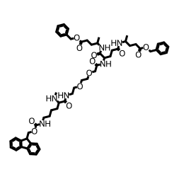 CNC(CCCCNC(=O)OCC1c2ccccc2-c2ccccc21)C(=O)NCCOCCOCC(=O)NC(CCC(=O)NC(C)CCC(=O)OCc1ccccc1)C(=O)NC(C)CCC(=O)OCc1ccccc1